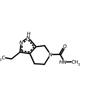 CCc1n[nH]c2c1CCN(C(=O)NC)C2